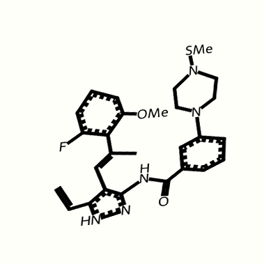 C=Cc1[nH]nc(NC(=O)c2cccc(N3CCN(SC)CC3)c2)c1/C=C(\C)c1c(F)cccc1OC